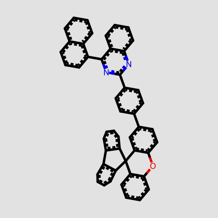 c1ccc2c(c1)Oc1ccc(-c3ccc(-c4nc(-c5cccc6ccccc56)c5ccccc5n4)cc3)cc1C21c2ccccc2-c2ccccc21